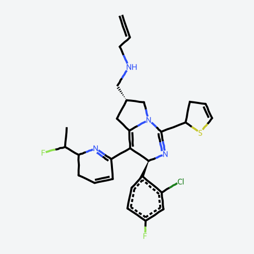 C=CCNC[C@H]1CC2=C(C3=NC(C(C)F)CC=C3)[C@H](c3ccc(F)cc3Cl)N=C(C3CC=CS3)N2C1